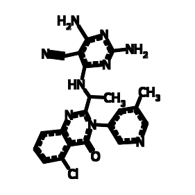 Cc1cncc(-n2c(C(C)Nc3nc(N)nc(N)c3C#N)nc3cccc(Cl)c3c2=O)c1